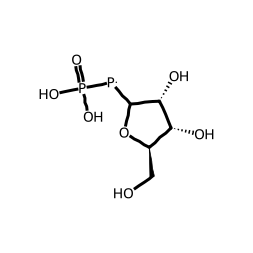 O=P(O)(O)[P]C1O[C@H](CO)[C@@H](O)[C@H]1O